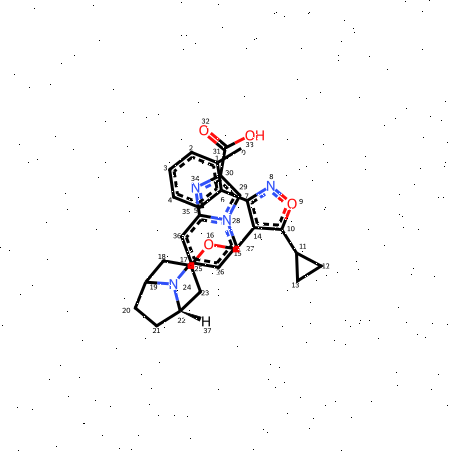 Cc1ccccc1-c1noc(C2CC2)c1COC1CC2CC[C@@H](C1)N2c1ccn2cc(C(=O)O)nc2c1